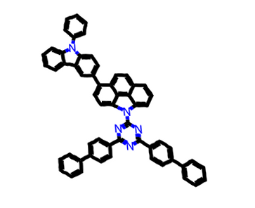 c1ccc(-c2ccc(-c3nc(-c4ccc(-c5ccccc5)cc4)nc(-n4c5cccc6ccc7c(-c8ccc9c(c8)c8ccccc8n9-c8ccccc8)ccc4c7c65)n3)cc2)cc1